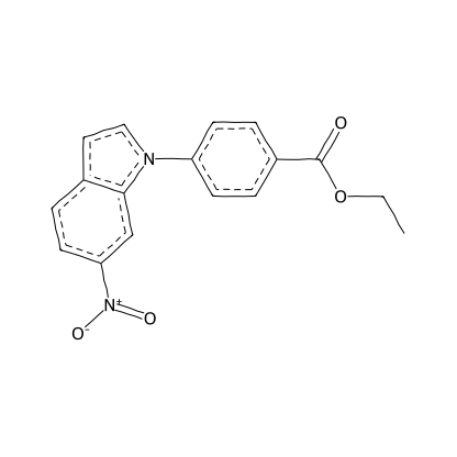 CCOC(=O)c1ccc(-n2ccc3ccc([N+](=O)[O-])cc32)cc1